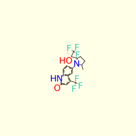 CC1CCC([C@@](C)(O)C(F)(F)F)N1c1ccc2[nH]c(=O)cc(C(F)(F)F)c2c1